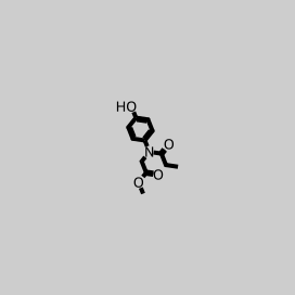 CCC(=O)N(CC(=O)OC)c1ccc(O)cc1